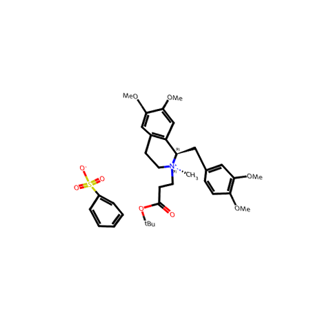 COc1ccc(C[C@@H]2c3cc(OC)c(OC)cc3CC[N@+]2(C)CCC(=O)OC(C)(C)C)cc1OC.O=S(=O)([O-])c1ccccc1